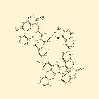 Nc1ccc(N(Cc2ccccn2)Cc2ccccn2)c(/N=N/c2c(O)c(C(=O)O)cc3cc(-c4ccc5ccc(O)c(/N=N/c6ccc(N(Cc7ccccn7)Cc7ccccn7)c(/N=N/c7c(O)ccc8cc(O)ccc78)c6)c5c4)ccc23)c1